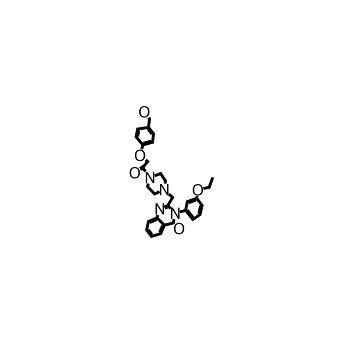 CCOc1cccc(-n2c(CN3CCN(C(=O)COc4ccc(C=O)cc4)CC3)nc3ccccc3c2=O)c1